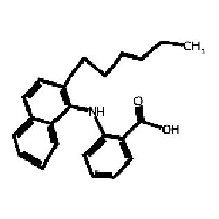 CCCCCCc1ccc2ccccc2c1Nc1ccccc1C(=O)O